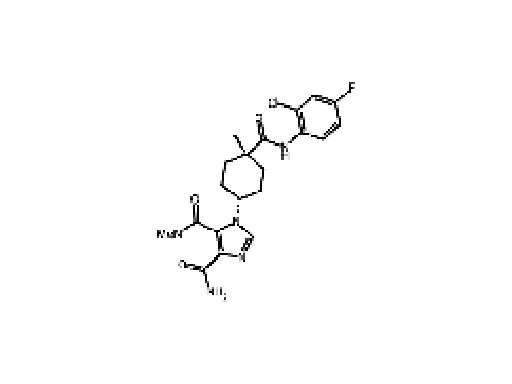 CNC(=O)c1c(C(N)=O)ncn1[C@H]1CC[C@@](C)(C(=O)Nc2ccc(F)cc2Cl)CC1